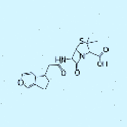 CC1(C)SC2C(NC(=O)CC3=C4C=COC=C4CC3)C(=O)N2C1C(=O)O